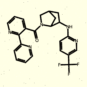 O=C(c1cccnc1-c1ccccn1)N1CC2CC(Nc3ccc(C(F)(F)F)cn3)C1C2